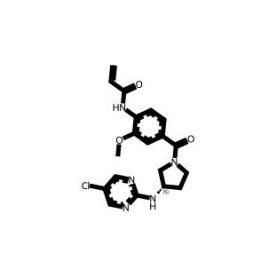 C=CC(=O)Nc1ccc(C(=O)N2CC[C@H](Nc3ncc(Cl)cn3)C2)cc1OC